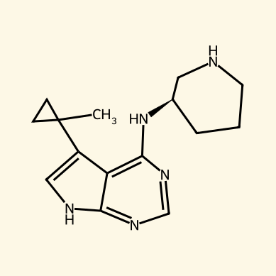 CC1(c2c[nH]c3ncnc(N[C@@H]4CCCNC4)c23)CC1